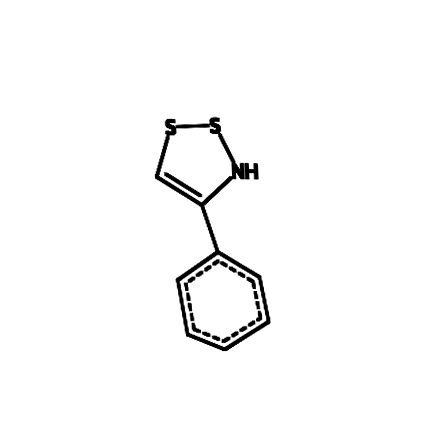 C1=C(c2ccccc2)NSS1